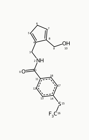 O=C(NCC1=CCC=C1CO)c1ccc(SC(F)(F)F)cc1